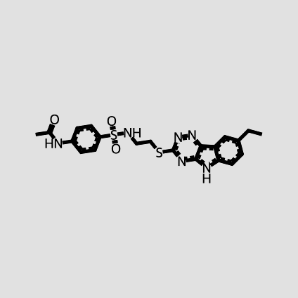 CCc1ccc2[nH]c3nc(SCCNS(=O)(=O)c4ccc(NC(C)=O)cc4)nnc3c2c1